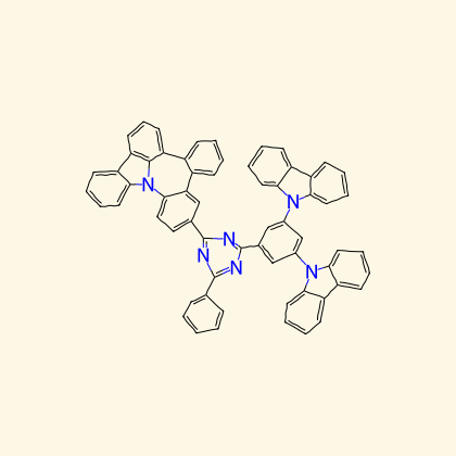 c1ccc(-c2nc(-c3cc(-n4c5ccccc5c5ccccc54)cc(-n4c5ccccc5c5ccccc54)c3)nc(-c3ccc4c(c3)-c3ccccc3-c3cccc5c6ccccc6n-4c35)n2)cc1